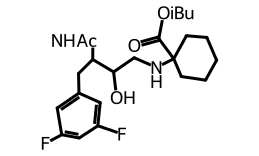 CC(=O)NC(Cc1cc(F)cc(F)c1)C(O)CNC1(C(=O)OCC(C)C)CCCCC1